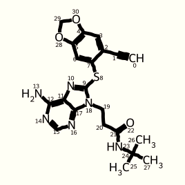 C#Cc1cc2c(cc1Sc1nc3c(N)ncnc3n1CCC(=O)NC(C)(C)C)OCO2